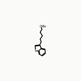 CC(C)COCCCCCc1csc2ccccc12